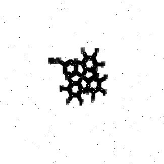 CNc1ccc([B-](c2c(F)c(F)c(F)c(F)c2F)(c2c(F)c(F)c(F)c(F)c2F)c2c(F)c(F)c(F)c(F)c2F)cc1